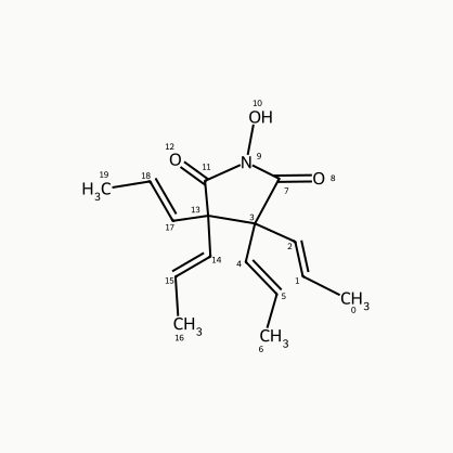 CC=CC1(C=CC)C(=O)N(O)C(=O)C1(C=CC)C=CC